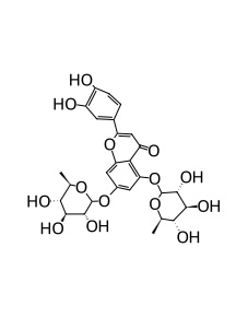 C[C@H]1OC(Oc2cc(OC3O[C@H](C)[C@@H](O)[C@H](O)[C@H]3O)c3c(=O)cc(-c4ccc(O)c(O)c4)oc3c2)[C@H](O)[C@@H](O)[C@@H]1O